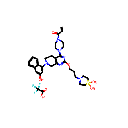 C=CC(=O)N1CCN(c2nc(OCCCN3CCS(O)(O)CC3)nc3c2CCN(c2cc(O)cc4ccccc24)C3)CC1.O=C(O)C(F)(F)F